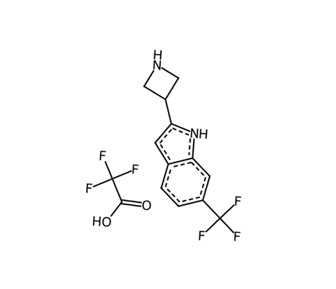 FC(F)(F)c1ccc2cc(C3CNC3)[nH]c2c1.O=C(O)C(F)(F)F